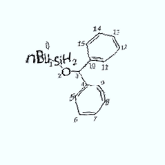 CCCC[SiH2]OC(c1ccccc1)c1ccccc1